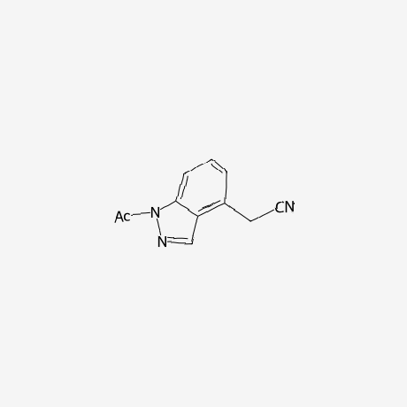 CC(=O)n1ncc2c(CC#N)cccc21